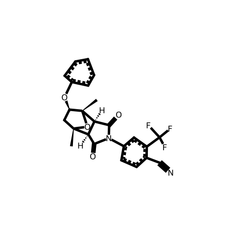 C[C@@]12O[C@@](C)(C[C@H]1Oc1ccccc1)[C@@H]1C(=O)N(c3ccc(C#N)c(C(F)(F)F)c3)C(=O)[C@@H]12